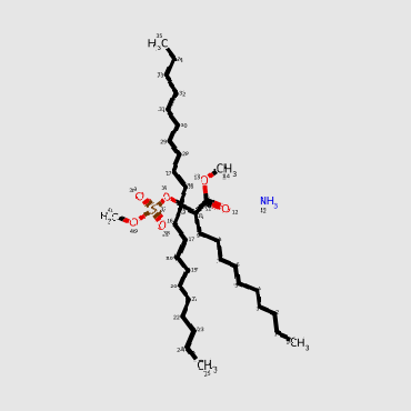 CCCCCCCCCCC(C(=O)OC)C(CCCCCCCCCC)(CCCCCCCCCC)OS(=O)(=O)OC.N